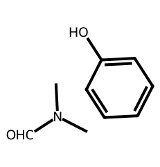 CN(C)C=O.Oc1ccccc1